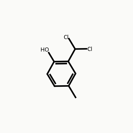 Cc1ccc(O)c(C(Cl)Cl)c1